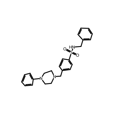 O=S(=O)(NCc1ccccc1)c1ccc(CN2CCN(c3ccccc3)CC2)cc1